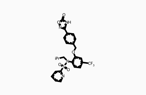 CC(C)CN(c1ccc(C(F)(F)F)cc1OCc1ccc(-c2noc(=O)[nH]2)cc1)S(=O)(=O)c1ccccn1